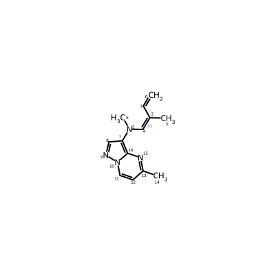 C=C/C(C)=C\N(C)c1cnn2ccc(C)nc12